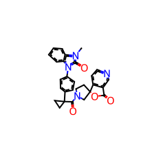 Cn1c(=O)n(-c2ccc(C3(C(=O)N4CCC5(C4)OC(=O)c4cnccc45)CC3)cc2)c2ccccc21